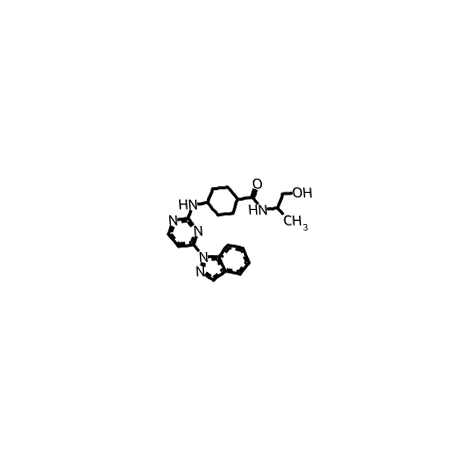 CC(CO)NC(=O)C1CCC(Nc2nccc(-n3ncc4ccccc43)n2)CC1